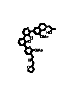 COc1cc(-c2nccc(-c3cccc(-c4ccc(CNCC5CCCO5)c(OC)n4)c3Cl)c2Cl)cc2c1CN(CC(C)O)CC2